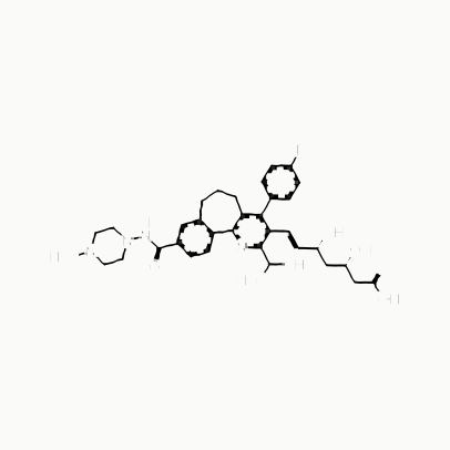 CC(C)c1nc2c(c(-c3ccc(F)cc3)c1/C=C/[C@@H](O)C[C@@H](O)CC(=O)O)CCCc1cc(C(=O)NN3CCN(C)CC3)ccc1-2